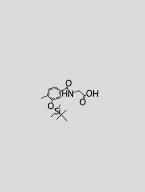 Cc1ccc(C(=O)NCC(=O)O)cc1O[Si](C)(C)C(C)(C)C